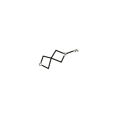 CCCN1CC2(COC2)C1